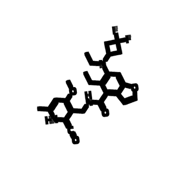 CCc1c(N(CC)C2CC(F)(F)C2)cc2occc2c1C(=O)NCC1=C(OC)C=C(C)NC1=C=O